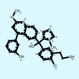 COc1cc(-c2cccc(O)c2)c2cc(C(O)(c3ccc(Cl)c(CCO)c3)c3cncn3C)ccc2n1